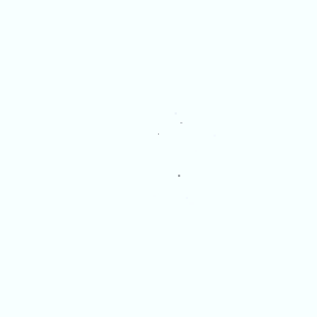 ClC(Cl)(Cl)C(Cl)(c1cc[c]cc1)C(Cl)(Cl)Cl